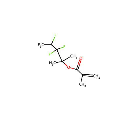 C=C(C)C(=O)OC(C)(C)C(F)(F)C(F)C(F)(F)F